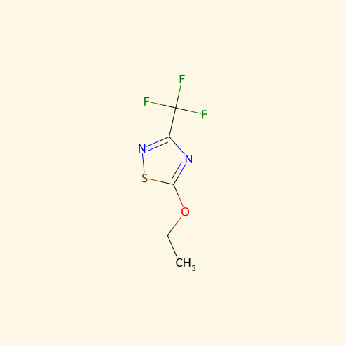 CCOc1nc(C(F)(F)F)ns1